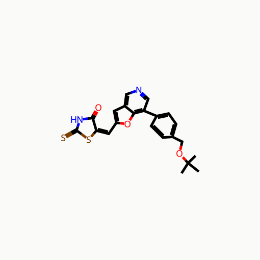 CC(C)(C)OCc1ccc(-c2cncc3cc(C=C4SC(=S)NC4=O)oc23)cc1